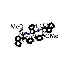 COCCN1/C(=C/C=C2C(N(c3ccccc3)c3ccccc3)=C(/C=C/C3=[N+](CCOC)c4ccc5ccccc5c4C3(C)C)c3ccccc3/2)C(C)(C)c2c1ccc1ccccc21